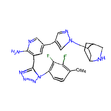 COc1ccc(-n2nnnc2-c2cc(-c3cnn(C4CC5CCC(C4)NC5)c3)cnc2N)c(F)c1F